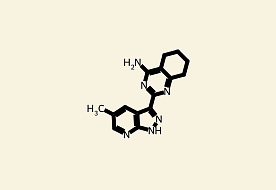 Cc1cnc2[nH]nc(-c3nc(N)c4c(n3)CCCC4)c2c1